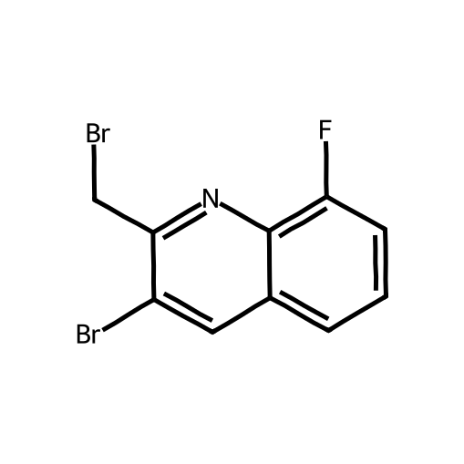 Fc1cccc2cc(Br)c(CBr)nc12